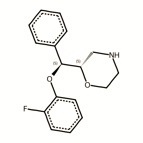 Fc1ccccc1O[C@@H](c1ccccc1)[C@@H]1CNCCO1